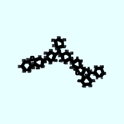 c1ccc(-c2cc3c4ccc(-c5ccc(N(c6ccccc6)c6ccc(-c7ccc8c(c7)oc7ccccc78)cc6)cc5)cc4oc3c3ccccc23)cc1